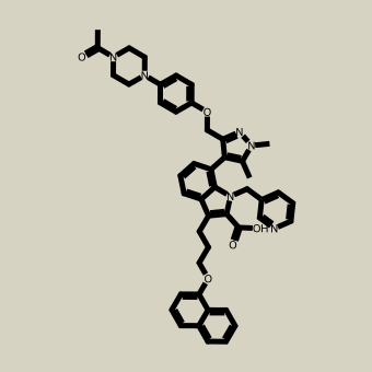 CC(=O)N1CCN(c2ccc(OCc3nn(C)c(C)c3-c3cccc4c(CCCOc5cccc6ccccc56)c(C(=O)O)n(Cc5cccnc5)c34)cc2)CC1